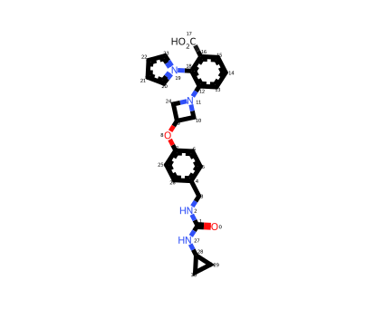 O=C(NCc1ccc(OC2CN(c3cccc(C(=O)O)c3-n3cccc3)C2)cc1)NC1CC1